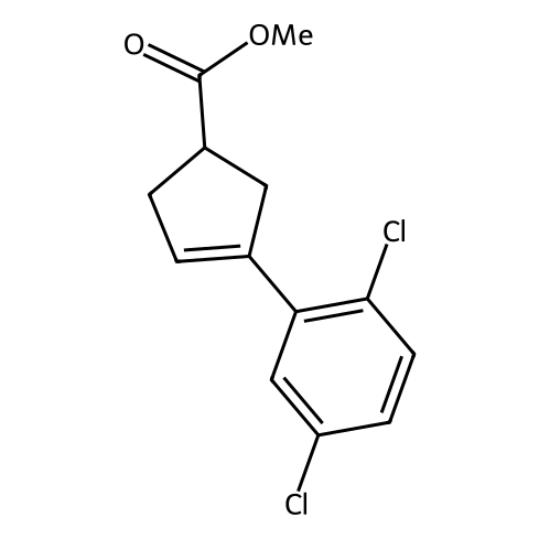 COC(=O)C1CC=C(c2cc(Cl)ccc2Cl)C1